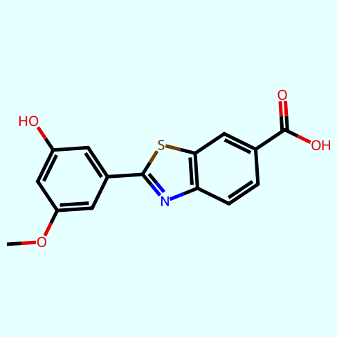 COc1cc(O)cc(-c2nc3ccc(C(=O)O)cc3s2)c1